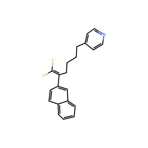 FC(F)=C(CCCCc1ccncc1)c1ccc2ccccc2c1